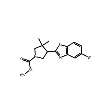 CC(C)(C)OC(=O)N1CC(c2nc3cc(Br)ccc3s2)C(C)(C)C1